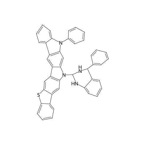 c1ccc(C2NC(n3c4cc5c(cc4c4cc6c7ccccc7n(-c7ccccc7)c6cc43)sc3ccccc35)Nc3ccccc32)cc1